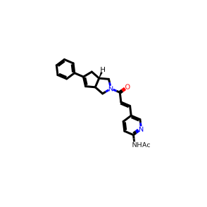 CC(=O)Nc1ccc(/C=C/C(=O)N2CC3C=C(c4ccccc4)C[C@@H]3C2)cn1